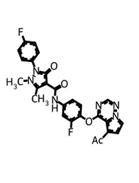 CC(=O)c1ccn2ncnc(Oc3ccc(NC(=O)c4c(C)n(C)n(-c5ccc(F)cc5)c4=O)cc3F)c12